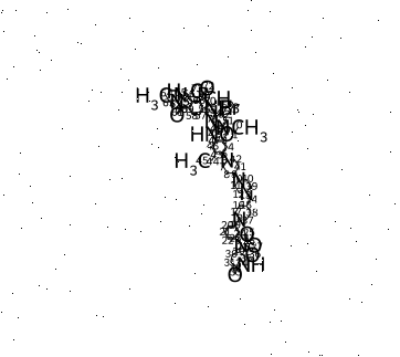 CCOc1cc(N2CCC(N3CCN(CC4CCN(c5cccc6c5oc(=O)n6C5CCC(=O)NC5=O)CC4)CC3)CC2)c(CC)cc1Nc1ncc(Br)c(Nc2ccc3c(=O)n(CC)ncc3c2P(C)(C)=O)n1